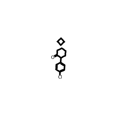 C1CCC1.O=C1CCCCC1c1ccc(Cl)cc1